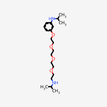 CC(C)NCCOCCOCCOCCOc1cccc(NC(C)C)c1